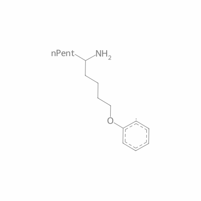 CCCCCC(N)CCCCOc1[c]cccc1